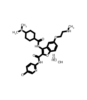 CNCCOc1ccc2oc(C(=O)Nc3ccc(Cl)cn3)c(NC(=O)C3CCC(N(C)C)CC3)c2c1.Cl.Cl.Cl